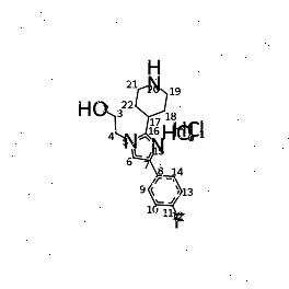 Cl.Cl.OCCn1cc(-c2ccc(F)cc2)nc1C1CCNCC1